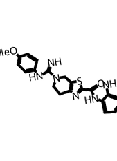 COc1ccc(NC(=N)N2CCc3nc(C(=O)Nc4ccccc4N)sc3C2)cc1